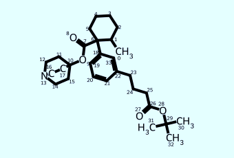 CC1CCCCC1(C(=O)OC12CCN(CC1)CC2)c1cccc(CCCC(=O)OC(C)(C)C)c1